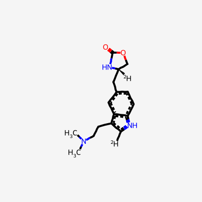 [2H]c1[nH]c2ccc(C[C@@]3([2H])COC(=O)N3)cc2c1CCN(C)C